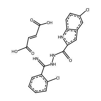 N=C(NNC(=O)c1cc2cc(Cl)ccc2[nH]1)c1ccccc1Cl.O=C(O)/C=C/C(=O)O